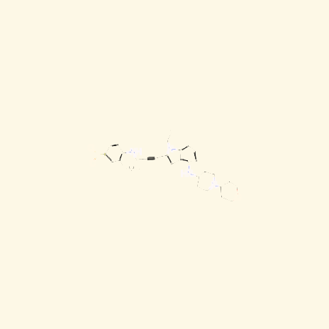 COc1cc([SH](=O)=O)ccc1NCC#Cc1cc2c(NC3CCN(C4CCOCC4)CC3)cccc2n1CC(F)(F)F